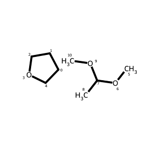 C1CCOC1.COC(C)OC